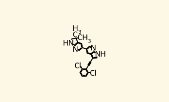 CC1(C)CNc2ncc(-c3cnc4[nH]cc(C#Cc5c(Cl)cccc5Cl)c4c3)cc21